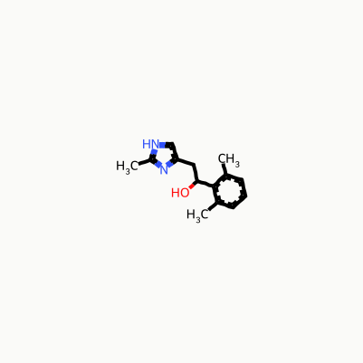 Cc1nc(CC(O)c2c(C)cccc2C)c[nH]1